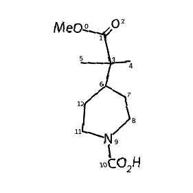 COC(=O)C(C)(C)C1CCN(C(=O)O)CC1